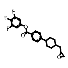 O=C(Oc1cc(F)c(F)c(F)c1)c1ccc(C2CCC(CC3CO3)CC2)cc1